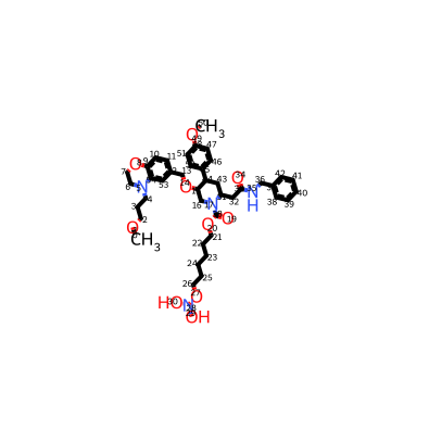 COCCCN1CCOc2ccc(COC3CN(C(=O)OCCCCCCON(O)O)C(CC(=O)NCc4ccccc4)CC3c3ccc(OC)cc3)cc21